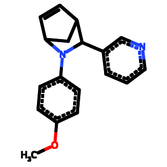 COc1ccc(N2C3C=CC(C3)C2c2cccnc2)cc1